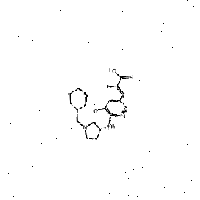 O=C(O)/C(F)=C/c1cnc(N[C@@H]2CCN(CC3CCCCC3)C2)c(Cl)c1